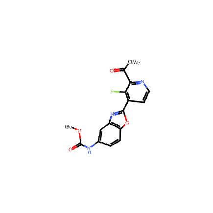 COC(=O)c1nccc(-c2nc3cc(NC(=O)OC(C)(C)C)ccc3o2)c1F